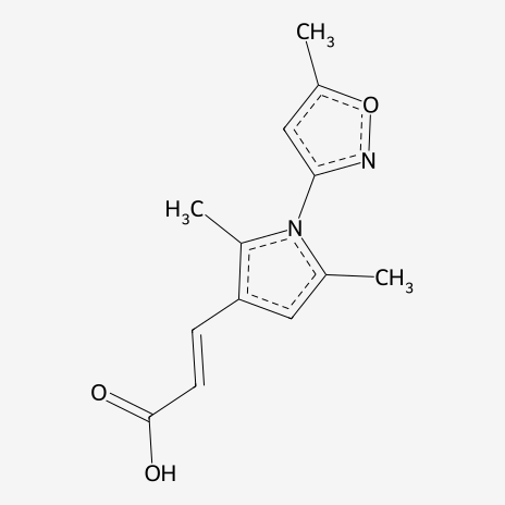 Cc1cc(-n2c(C)cc(/C=C/C(=O)O)c2C)no1